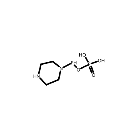 O=P(O)(O)OPN1CCNCC1